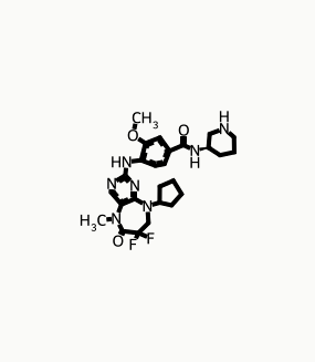 COc1cc(C(=O)N[C@@H]2CCCNC2)ccc1Nc1ncc2c(n1)N(C1CCCC1)CC(F)(F)C(=O)N2C